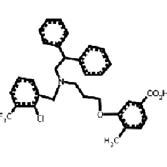 Cc1ccc(C(=O)O)cc1OCCCN(Cc1cccc(C(F)(F)F)c1Cl)CC(c1ccccc1)c1ccccc1